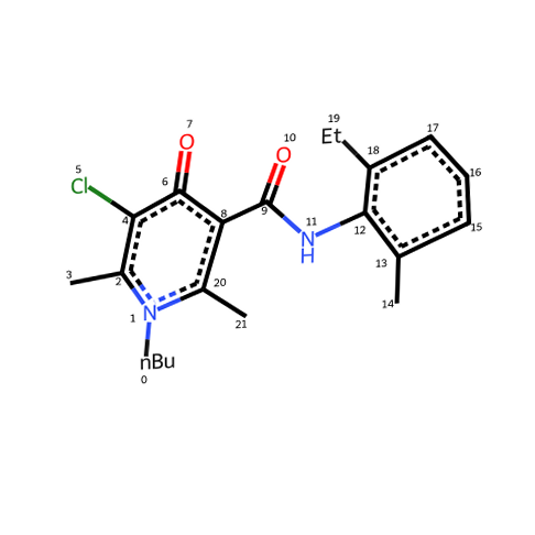 CCCCn1c(C)c(Cl)c(=O)c(C(=O)Nc2c(C)cccc2CC)c1C